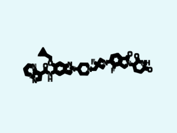 O=C1CCC(N2Cc3c(ccc(N4CC(F)(CN5CCC(n6cc7cc(NC(=O)c8cnn9cccnc89)c(OCC8CC8)cc7n6)CC5)C4)c3F)C2=O)C(=O)N1